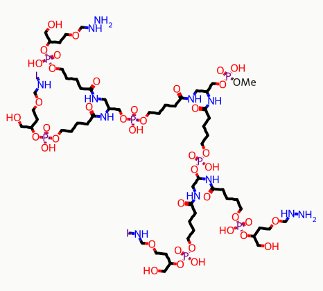 COP(=O)(O)OCC(CNC(=O)CCCCOP(=O)(O)OCC(CNC(=O)CCCCOP(=O)(O)OC(CO)CCOCNN)NC(=O)CCCCOP(=O)(O)OC(CO)CCOCNI)NC(=O)CCCCOP(=O)(O)OC(CNC(=O)CCCCOP(=O)(O)OC(CO)CCOCNI)NC(=O)CCCCOP(=O)(O)OC(CO)CCOCNN